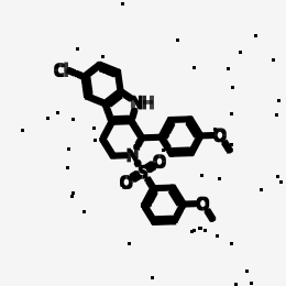 COc1ccc(C2c3[nH]c4ccc(Cl)cc4c3CCN2S(=O)(=O)c2cccc(OC)c2)cc1